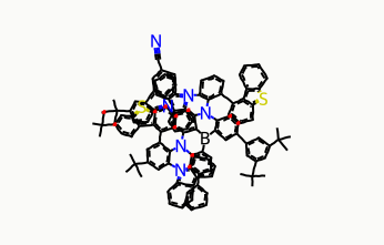 CC(C)(C)c1cc(-c2ccc3c(c2)B2c4ccc(-c5ccccc5)cc4N(c4c(-c5cccc6sc7cc(C(C)(C)C)ccc7c56)cc(C(C)(C)C)cc4-n4c5ccccc5c5ccccc54)c4cc(-n5c6ccc(C#N)cc6c6cc(C(C)(C)C)ccc65)cc(c42)N3c2c(-c3cccc4sc5ccccc5c34)cccc2-n2c3ccccc3c3ccccc32)cc(C(C)(C)C)c1